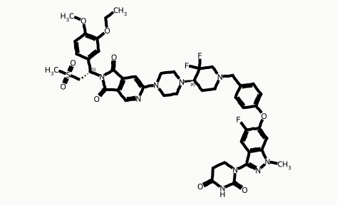 CCOc1cc([C@@H](CS(C)(=O)=O)N2C(=O)c3cnc(N4CCN([C@@H]5CCN(Cc6ccc(Oc7cc8c(cc7F)c(N7CCC(=O)NC7=O)nn8C)cc6)CC5(F)F)CC4)cc3C2=O)ccc1OC